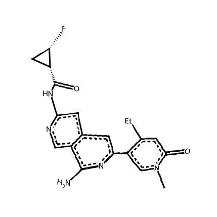 CCc1cc(=O)n(C)cc1-c1cc2cc(NC(=O)[C@@H]3C[C@@H]3F)ncc2c(N)n1